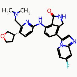 CN(C)Cc1nc(Nc2ccc(-c3cnc4cc(F)ccn34)c3c2C(=O)NC3)ccc1[C@@H]1CCOC1